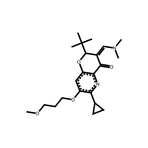 COCCCOc1cc2c(nc1C1CC1)C(=O)C(=CN(C)C)C(C(C)(C)C)O2